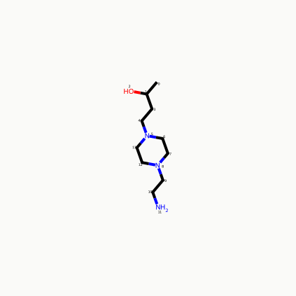 CC(O)CCN1CCN(CCN)CC1